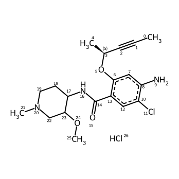 CC#C[C@H](C)Oc1cc(N)c(Cl)cc1C(=O)NC1CCN(C)CC1OC.Cl